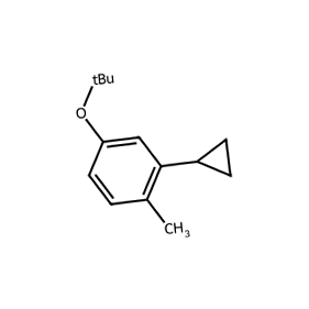 Cc1ccc(OC(C)(C)C)cc1C1CC1